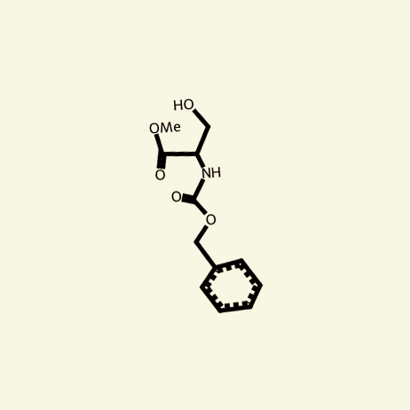 COC(=O)C(CO)NC(=O)OCc1ccccc1